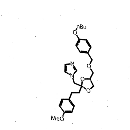 CCCCOc1ccc(COCC2COC(CCc3ccc(OC)cc3)(Cn3ccnc3)O2)cc1